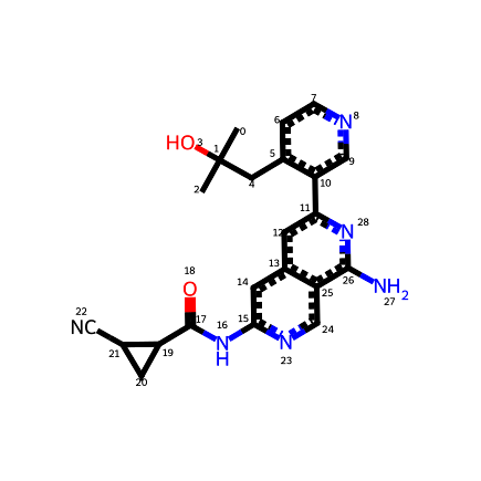 CC(C)(O)Cc1ccncc1-c1cc2cc(NC(=O)C3CC3C#N)ncc2c(N)n1